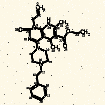 C=CCn1c2c(c(N3CCN(CCc4ccccc4)CC3)nc1=O)C(C)C(C(=O)OCC)=C(C)N2